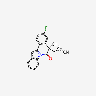 CC1(C[Se]C#N)C(=O)n2c(cc3ccccc32)-c2ccc(F)cc21